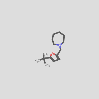 CC(C)(C)c1ccc(CN2CCCCCC2)o1